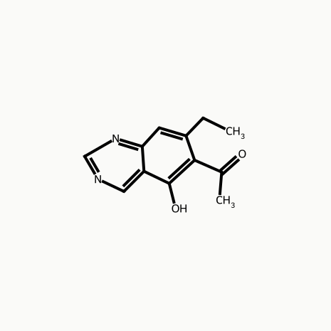 CCc1cc2ncncc2c(O)c1C(C)=O